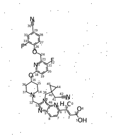 C/C(=C\C(=O)O)c1ccc2nc(CN3CCC(Oc4ccc(F)c(COc5ccc(C#N)cc5F)n4)CC3)n(CC3(CC#N)CC3)c2n1